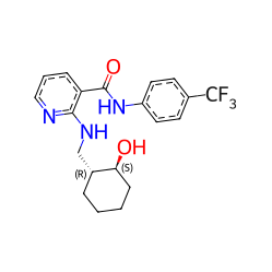 O=C(Nc1ccc(C(F)(F)F)cc1)c1cccnc1NC[C@H]1CCCC[C@@H]1O